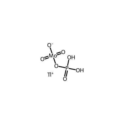 O=P(O)(O)[O][Mo](=[O])(=[O])[O-].[Tl+]